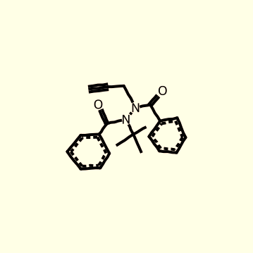 C#CCN(C(=O)c1ccccc1)N(C(=O)c1ccccc1)C(C)(C)C